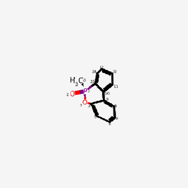 C[P@@]1(=O)Oc2ccccc2-c2ccccc21